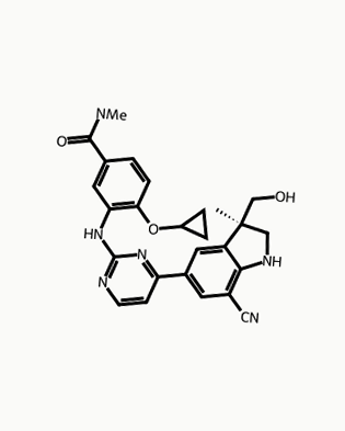 CNC(=O)c1ccc(OC2CC2)c(Nc2nccc(-c3cc(C#N)c4c(c3)[C@@](C)(CO)CN4)n2)c1